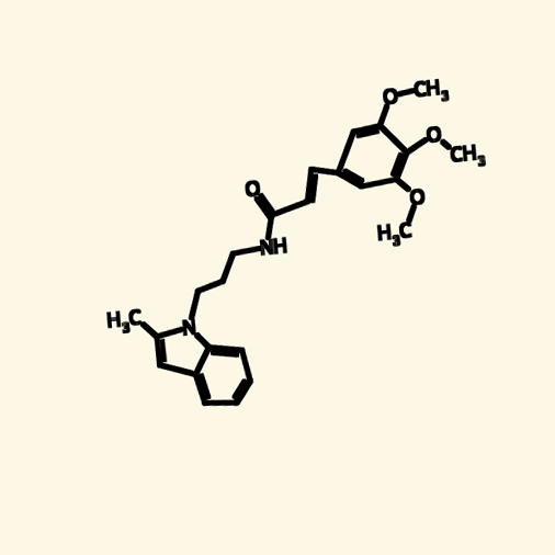 COc1cc(C=CC(=O)NCCCn2c(C)cc3ccccc32)cc(OC)c1OC